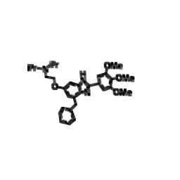 COc1cc(-c2nc3c(Cc4ccccc4)cc(OCCN(C(C)C)C(C)C)cc3[nH]2)cc(OC)c1OC